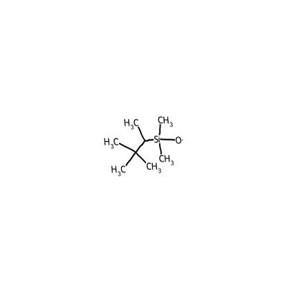 CC(C(C)(C)C)[Si](C)(C)[O]